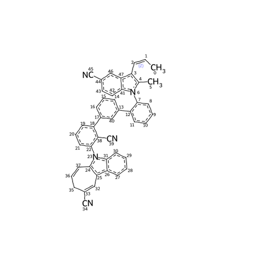 C/C=C\c1c(C)n(-c2ccccc2-c2cccc(-c3cccc(-n4c5c(c6ccccc64)C=C(C#N)CC=C5)c3C#N)c2)c2ccc(C#N)cc12